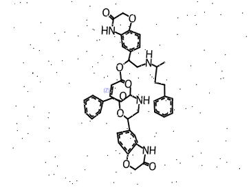 CC(CCc1ccccc1)NCC(OC(=O)/C=C\C(=O)OC(CNC(C)CCc1ccccc1)c1ccc2c(c1)NC(=O)CO2)c1ccc2c(c1)NC(=O)CO2